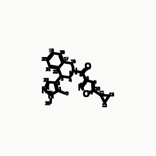 Cc1c(C2CN(C(=O)c3cc(C4CC4)on3)Cc3ccccc32)cnn1C